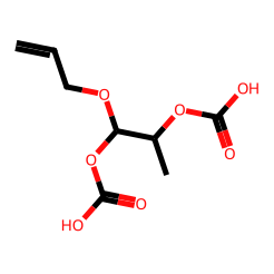 C=CCOC(OC(=O)O)C(C)OC(=O)O